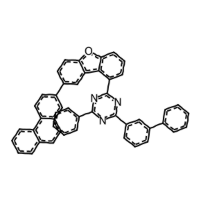 c1ccc(-c2cccc(-c3nc(-c4ccccc4)nc(-c4cccc5oc6ccc(-c7ccc8c(ccc9ccccc98)c7)cc6c45)n3)c2)cc1